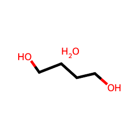 O.OCCCCO